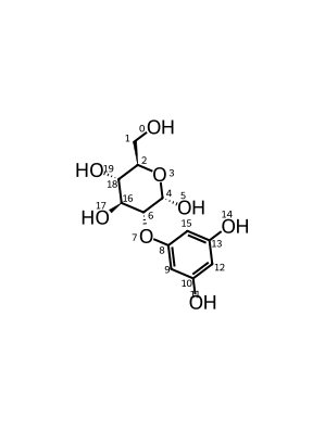 OC[C@H]1O[C@H](O)[C@H](Oc2cc(O)cc(O)c2)[C@@H](O)[C@@H]1O